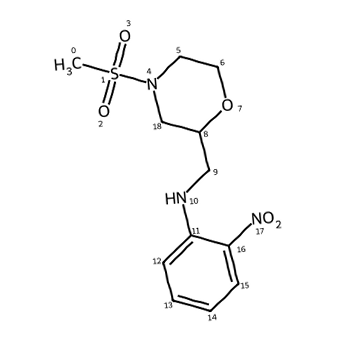 CS(=O)(=O)N1CCOC(CNc2ccccc2[N+](=O)[O-])C1